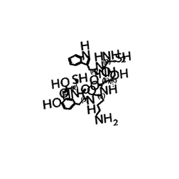 C[C@@H](O)[C@H](NC(=O)[C@@H](Cc1c[nH]c2ccccc12)NC(=O)[C@@H](N)CS)C(=O)N[C@@H](CCCCN)C(=O)N[C@@H](Cc1ccc(O)cc1)C(=O)N[C@@H](CS)C(=O)O